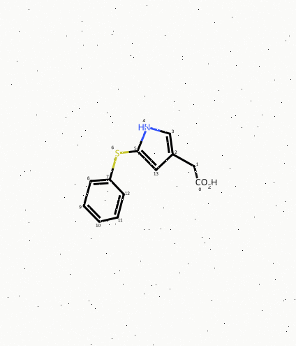 O=C(O)Cc1c[nH]c(Sc2ccccc2)c1